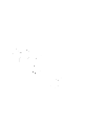 O=C(c1ccc2nccnc2c1)c1c(F)ccc(OCc2cccc(C(F)(F)F)c2)c1F